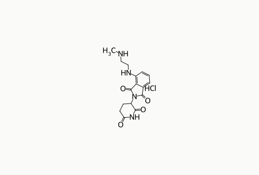 CNCCNc1cccc2c1C(=O)N(C1CCC(=O)NC1=O)C2=O.Cl